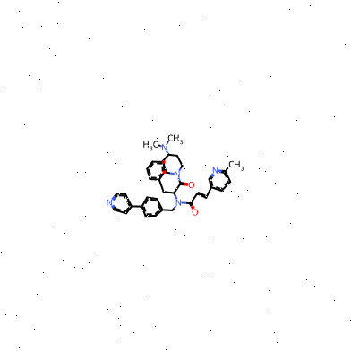 Cc1ccc(C=CC(=O)N(Cc2ccc(-c3ccncc3)cc2)C(Cc2ccccc2)C(=O)N2CCC(N(C)C)CC2)cn1